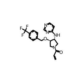 C=CC(=O)N1C[C@@H](Nc2ccncn2)[C@H](OCc2ccc(C(F)(F)F)cc2)C1